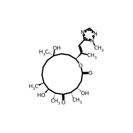 C/C(=C\c1ncnn1C)[C@@H]1CC[C@](C)(O)CCC[C@H](C)[C@H](O)[C@@H](C)C(=O)[C@@H](C)[C@@H](O)CC(=O)O1